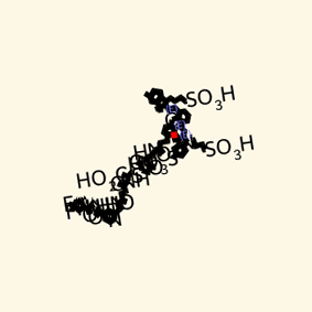 Cc1ccc2c(c1)C(C)(C)C(/C=C/C1=C(Oc3ccc(CCC(=O)NCCN4C(=O)CC(SCC(NC(=O)CCC(=O)NCc5cc(C(=O)N[C@@H](C)C(=O)N6CC(F)(F)C[C@H]6C)ccn5)C(=O)O)C4=O)cc3)C(=C/C=C3/N(CCCCS(=O)(=O)O)c4ccc(S(=O)(=O)O)cc4C3(C)C)/CCC1)=C2CCCCS(=O)(=O)O